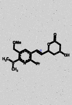 COCc1cc(/C=C/C2CC(O)CC(=O)O2)c(C(C)C)nc1N(C)C